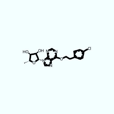 C[C@H]1O[C@@H](n2cnc3c(OCCc4ccc(Cl)cc4)ncnc32)[C@H](O)[C@@H]1O